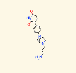 NCCCN1CC2CC1CN2c1ccc(C2CCC(=O)NC2=O)cc1